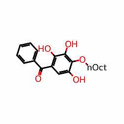 CCCCCCCCOc1c(O)cc(C(=O)c2ccccc2)c(O)c1O